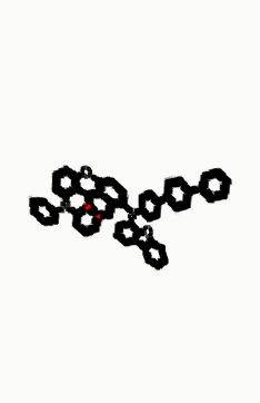 c1ccc(-c2ccc(-c3ccc(N(c4ccc5c6c(cccc46)-c4c(cccc4N(c4ccccc4)c4ccccc4)O5)c4cccc5c4oc4ccccc45)cc3)cc2)cc1